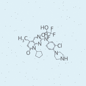 Cc1cc(=O)n(C2CCCC2)c2nc(Nc3ccc(N4CCNCC4)c(Cl)c3)ncc12.O=C(O)C(F)(F)F